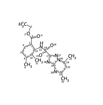 CCOC(=O)c1ccc(C)c(C)c1NS(=O)(=O)c1nc2nc(C)cc(C)n2n1